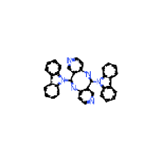 c1ccc2c(c1)c1ccccc1n2/C1=N/c2ccncc2/C(n2c3ccccc3c3ccccc32)=N\c2ccncc21